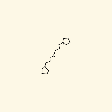 C1CCN(CCC[N]CCCN2CCCC2)C1